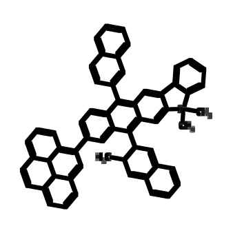 CC1C=c2ccccc2=CC1c1c2cc(C3=C4C=CC=C5C=CC6=CC=CC(=C3)C6C54)ccc2c(-c2ccc3ccccc3c2)c2cc3c(cc12)[Si](C)(C)c1ccccc1-3